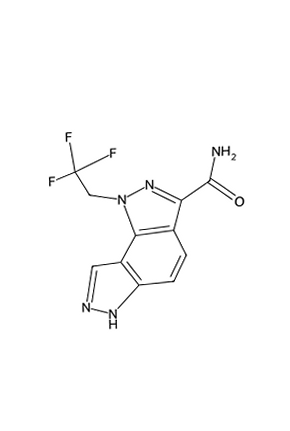 NC(=O)c1nn(CC(F)(F)F)c2c1ccc1[nH]ncc12